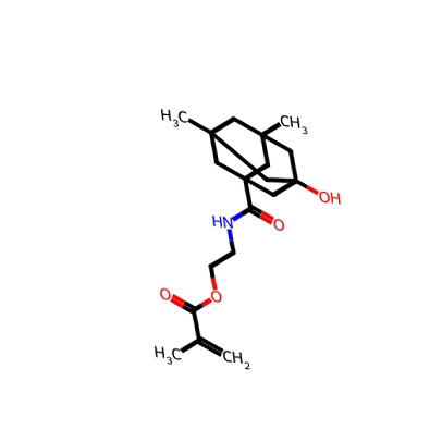 C=C(C)C(=O)OCCNC(=O)C12CC3(C)CC(C)(CC(O)(C3)C1)C2